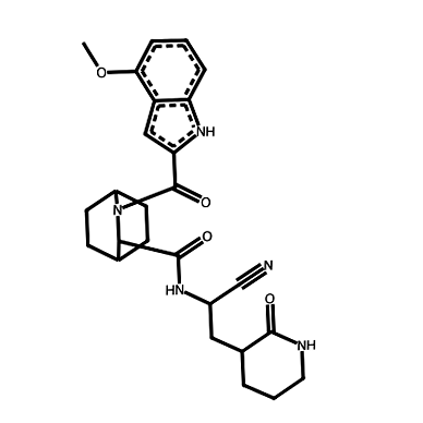 COc1cccc2[nH]c(C(=O)N3C4CCC(CC4)C3C(=O)NC(C#N)CC3CCCNC3=O)cc12